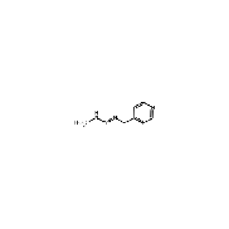 O=C(O)NN=NCc1ccncc1